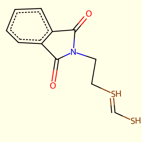 O=C1c2ccccc2C(=O)N1CC[SH]=CS